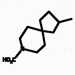 CC1CCC2(CCN(C(=O)O)CC2)C1